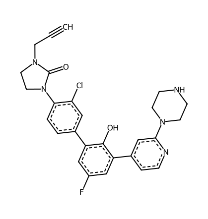 C#CCN1CCN(c2ccc(-c3cc(F)cc(-c4ccnc(N5CCNCC5)c4)c3O)cc2Cl)C1=O